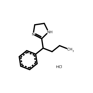 CCCC(C1=NCCN1)c1ccccc1.Cl